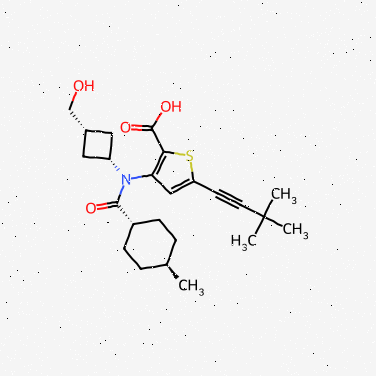 CC(C)(C)C#Cc1cc(N(C(=O)[C@H]2CC[C@H](C)CC2)[C@H]2C[C@@H](CO)C2)c(C(=O)O)s1